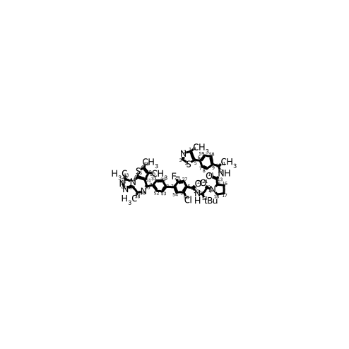 Cc1ncsc1-c1ccc(C(C)NC(=O)C2CCCN2C(=O)C(NC(=O)c2cc(F)c(-c3ccc(C4=NC(C)c5nnc(C)n5-c5sc(C)c(C)c54)cc3)cc2Cl)C(C)(C)C)cc1